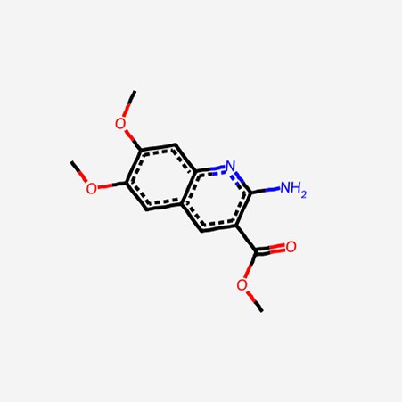 COC(=O)c1cc2cc(OC)c(OC)cc2nc1N